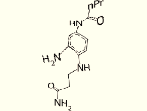 CCCC(=O)Nc1ccc(NCCC(N)=O)c(N)c1